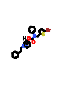 O=C(O[C@H]1C[N+]2(CCc3ccccc3)CCC1CC2)N(Cc1ccc(Br)s1)c1ccccc1